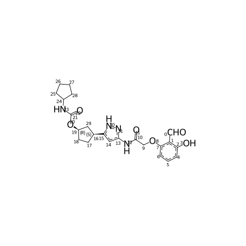 O=Cc1c(O)cccc1OCC(=O)Nc1cc([C@H]2CC[C@@H](OC(=O)NC3CCCC3)C2)[nH]n1